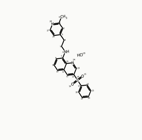 Cc1cc(CCNc2cccc3cc(S(=O)(=O)c4ccccc4)cnc23)ccn1.Cl